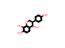 Oc1ccc(C2COc3c(ccc(O)c3O)[C@@H]2O)cc1